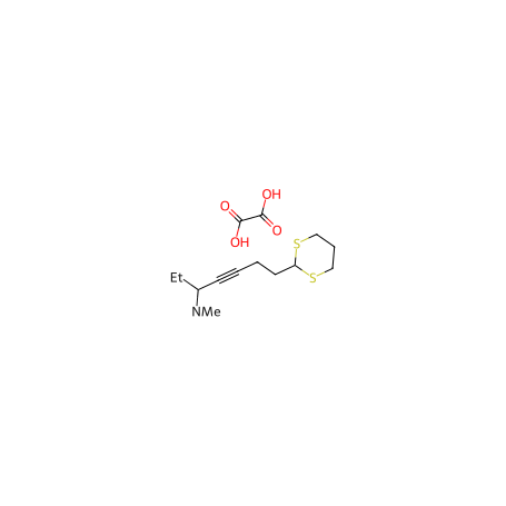 CCC(C#CCCC1SCCCS1)NC.O=C(O)C(=O)O